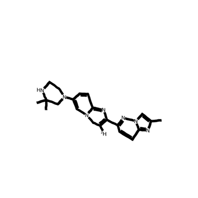 [2H]C1=C(c2ccc3nc(C)cn3n2)N=C2C=CC(N3CCNC(C)(C)C3)=CN2C1